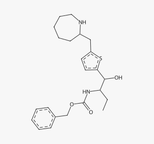 CCC(NC(=O)OCc1ccccc1)C(O)c1ccc(CC2CCCCCN2)s1